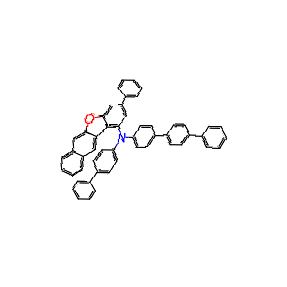 c1ccc(-c2ccc(-c3ccc(N(c4ccc(-c5ccccc5)cc4)c4cc(-c5ccccc5)cc5oc6cc7ccccc7cc6c45)cc3)cc2)cc1